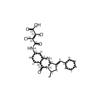 CC1CC(=Cc2ccccc2)c2nc3cc(NC(=O)C(Cl)=C(Cl)C(=O)O)ccc3c(=O)n21